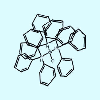 [Cl][Rh]([PH](c1ccccc1)(c1ccccc1)c1ccccc1)([PH](c1ccccc1)(c1ccccc1)c1ccccc1)[PH](c1ccccc1)(c1ccccc1)c1ccccc1